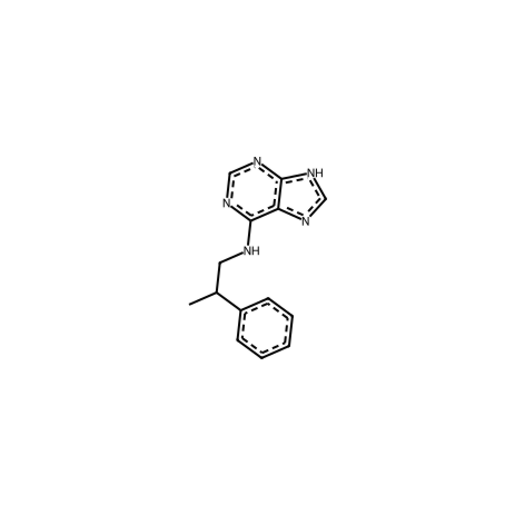 CC(CNc1ncnc2[nH]cnc12)c1ccccc1